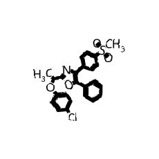 CC(Oc1ccc(Cl)cc1)c1nc(-c2ccc(S(C)(=O)=O)cc2)c(-c2ccccc2)o1